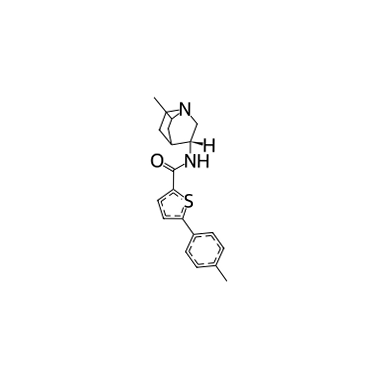 Cc1ccc(-c2ccc(C(=O)N[C@H]3CN4CCC3CC4C)s2)cc1